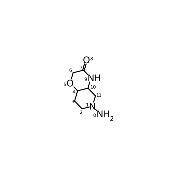 NN1CCC2OCC(=O)NC2C1